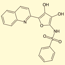 O=S(=O)(Nc1oc(-c2ccc3ccccc3n2)c(O)c1O)c1ccccc1